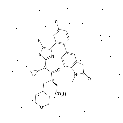 CN1C(=O)Cc2cc(-c3ccc(Cl)cc3-c3nc(N(C(=O)[C@@H](CC(=O)O)CC4CCOCC4)C4CC4)sc3F)cnc21